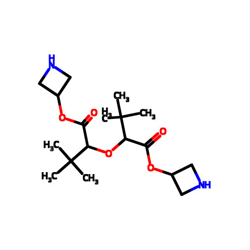 CC(C)(C)C(OC(C(=O)OC1CNC1)C(C)(C)C)C(=O)OC1CNC1